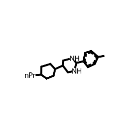 CCCC1CCC(C2CNC(c3ccc(C)cc3)NC2)CC1